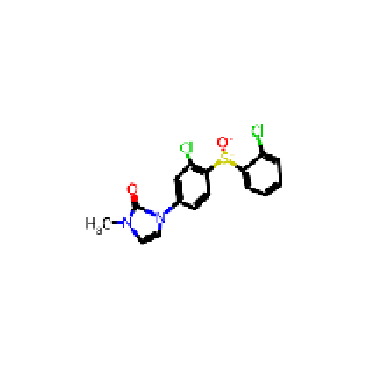 Cn1ccn(-c2ccc([S+]([O-])c3ccccc3Cl)c(Cl)c2)c1=O